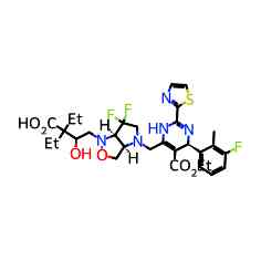 CCOC(=O)C1=C(CN2CC(F)(F)[C@H]3[C@@H]2CON3C[C@@H](O)C(CC)(CC)C(=O)O)NC(c2nccs2)=N[C@H]1c1cccc(F)c1C